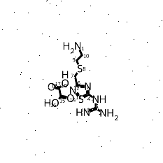 N=C(N)Nc1nc(CSCCN)ns1.O=C(O)C(=O)O